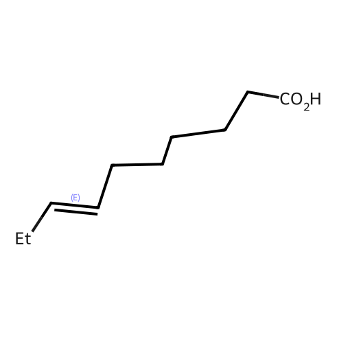 CC/C=C/CCCCCC(=O)O